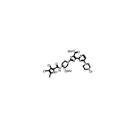 CCN1CCN(c2ccnc(-c3nc(N4CC[C@@H](NC(=O)c5[nH]c(C)c(Cl)c5Cl)[C@@H](OC)C4)sc3C(=O)OC)n2)CC1